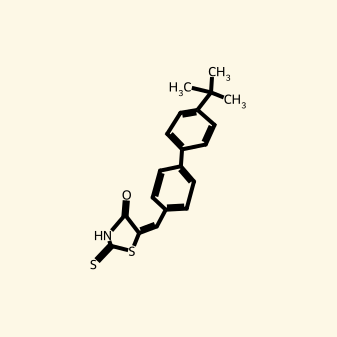 CC(C)(C)c1ccc(-c2ccc(C=C3SC(=S)NC3=O)cc2)cc1